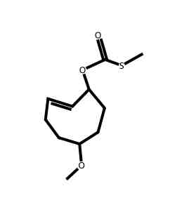 COC1CC/C=C/C(OC(=O)SC)CC1